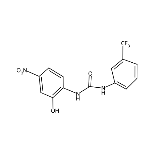 O=C(Nc1cccc(C(F)(F)F)c1)Nc1ccc([N+](=O)[O-])cc1O